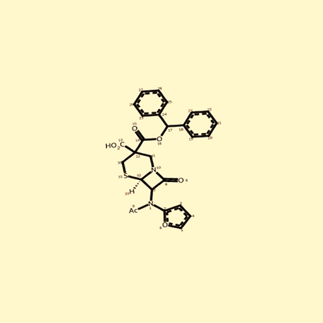 CC(=O)N(c1ccco1)C1C(=O)N2CC(C(=O)O)(C(=O)OC(c3ccccc3)c3ccccc3)CS[C@H]12